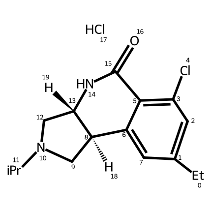 CCc1cc(Cl)c2c(c1)[C@H]1CN(C(C)C)C[C@@H]1NC2=O.Cl